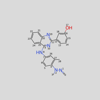 C=NN(C)c1ccc(Nc2nc(-c3cccc(O)c3)nc3ccccc23)cc1C